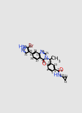 CC(c1cccc(C(=O)NC2CC2)c1)n1cnc2cc(-c3cn[nH]c3Br)ccc2c1=O